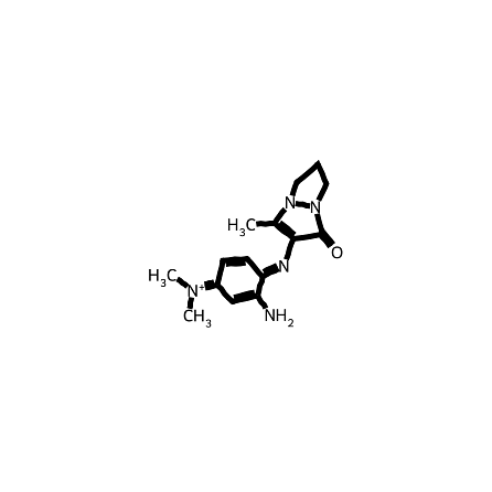 Cc1c(/N=C2\C=CC(=[N+](C)C)C=C2N)c(=O)n2n1CCC2